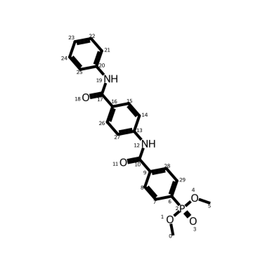 COP(=O)(OC)c1ccc(C(=O)Nc2ccc(C(=O)Nc3ccccc3)cc2)cc1